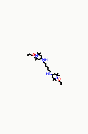 C=CCON1C(C)(C)CC(NCCCCCCNC2CC(C)(C)N(OCC=C)C(C)(C)C2)CC1(C)C